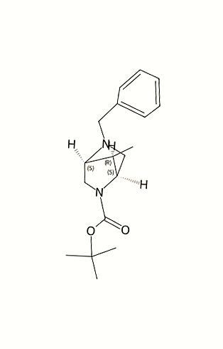 C[C@@H]1[C@H]2CN(C(=O)OC(C)(C)C)[C@@H]1CN2Cc1ccccc1